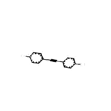 CCc1ccc(C#Cc2ccc(CC)cc2)cc1